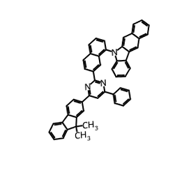 CC1(C)c2ccccc2-c2ccc(-c3cc(-c4ccccc4)nc(-c4ccc5cccc(-n6c7ccccc7c7cc8ccccc8cc76)c5c4)n3)cc21